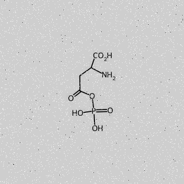 NC(CC(=O)OP(=O)(O)O)C(=O)O